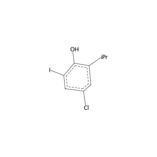 CC(C)c1cc(Cl)cc(I)c1O